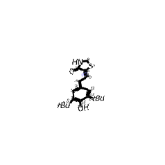 CC(C)(C)c1cc(C/C=C2/SCNC2=O)cc(C(C)(C)C)c1O